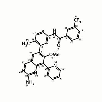 COc1c(-c2cc(NC(=O)c3cccc(C(F)(F)F)c3)ccc2C)cc2cnc(N)nc2c1-c1ccccn1